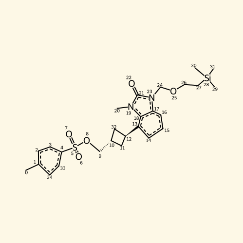 Cc1ccc(S(=O)(=O)OC[C@H]2C[C@H](c3cccc4c3n(C)c(=O)n4COCC[Si](C)(C)C)C2)cc1